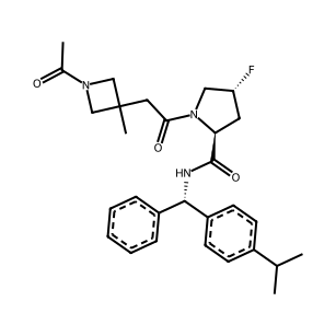 CC(=O)N1CC(C)(CC(=O)N2C[C@H](F)C[C@H]2C(=O)N[C@@H](c2ccccc2)c2ccc(C(C)C)cc2)C1